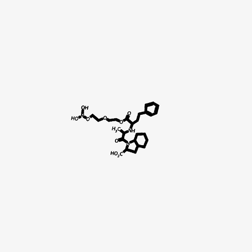 CC(NC(CCc1ccccc1)C(=O)OCCOCCON(O)O)C(=O)N1C(C(=O)O)CC2CCCCC21